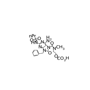 CCCS(=O)(=O)Nc1nc(N)c2c(n1)n(Cc1ccccc1)c(=O)n2C(=O)N(C)CCOC(=O)O